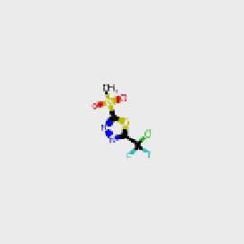 CS(=O)(=O)c1nnc(C(F)(F)Cl)s1